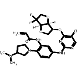 C=CC(=O)Nc1cc(Nc2ncc(Cl)c(O[C@H]3CO[C@@H]4[C@H]3OCC4(F)F)n2)ccc1N1CCC(N(C)C)C1